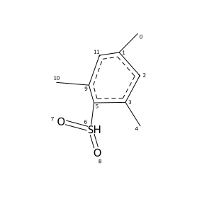 Cc1cc(C)c([SH](=O)=O)c(C)c1